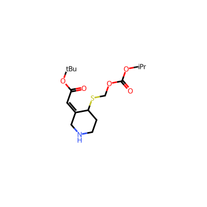 CC(C)OC(=O)OCSC1CCNC/C1=C/C(=O)OC(C)(C)C